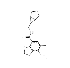 Cc1cc(C(=O)NCC2C3CNCC32)c2c(c1N)CCO2